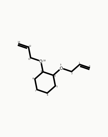 C=CCOC1CCCCC1OCC=C